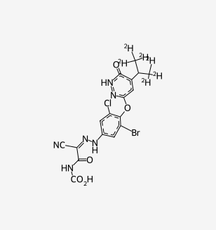 [2H]C([2H])([2H])C(c1cc(Oc2c(Cl)cc(NN=C(C#N)C(=O)NC(=O)O)cc2Br)n[nH]c1=O)C([2H])([2H])[2H]